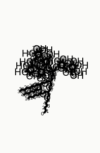 CCCCCCOCC(COCCCCCC)COCC(COCC(COCCCCCC)COCCCCCC)COCC(CO[C@@H]1OC(CO)=C(O[C@H]2OC(CO)[C@@H](O)C(O)C2O)C(O)C1O)(CO[C@@H]1OC(CO)[C@@H](O[C@H]2OC(CO)[C@@H](O)C(O)C2O)C(O)C1O)CO[C@@H]1OC(CO)[C@@H](O[C@@H]2OC(CO)[C@@H](O)C(O)C2O)C(O)C1O